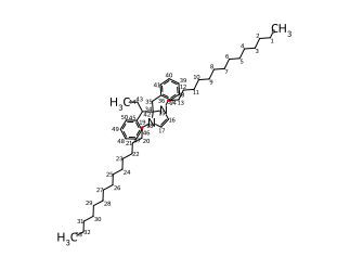 CCCCCCCCCCCCCCCN1C=CN(CCCCCCCCCCCCCCC)C1(Cc1ccccc1)C(CC)c1ccccc1